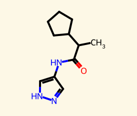 CC(C(=O)Nc1cn[nH]c1)C1CCCC1